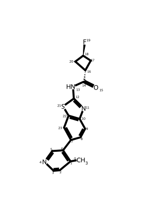 Cc1ccncc1-c1ccc2nc(NC(=O)[C@H]3C[C@H](F)C3)sc2c1